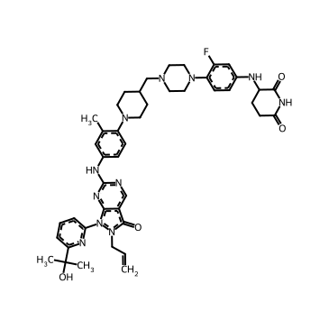 C=CCn1c(=O)c2cnc(Nc3ccc(N4CCC(CN5CCN(c6ccc(NC7CCC(=O)NC7=O)cc6F)CC5)CC4)c(C)c3)nc2n1-c1cccc(C(C)(C)O)n1